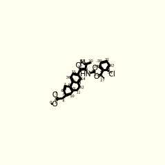 COC(=O)Cc1ccc2c(c1)CCc1cc(-c3onc(C)c3NC(=O)O[C@H](C)c3ccccc3Cl)ccc1-2